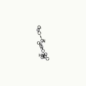 O=C(NS(=O)(=O)Cc1ccccc1)c1ccc(N2CCN(C(=O)c3cncc(C#Cc4ccc(OC5CCO5)cc4)c3)CC2)cc1